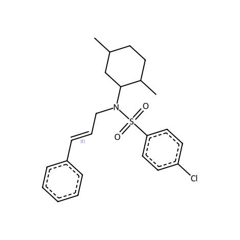 CC1CCC(C)C(N(C/C=C/c2ccccc2)S(=O)(=O)c2ccc(Cl)cc2)C1